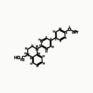 CC(C)Oc1ccc(-c2cnc(N3CCN(C(=O)O)c4ccccc43)nc2)cc1